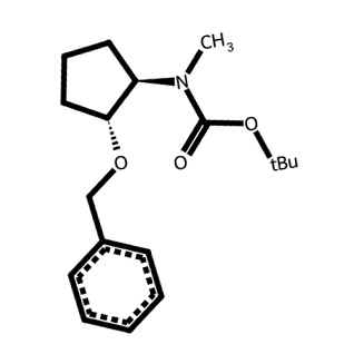 CN(C(=O)OC(C)(C)C)[C@@H]1CCC[C@H]1OCc1ccccc1